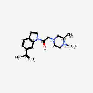 C=C(C)c1ccc2c(c1)N(C(=O)CN1CCN(C(=O)O)[C@H](C)C1)CC2